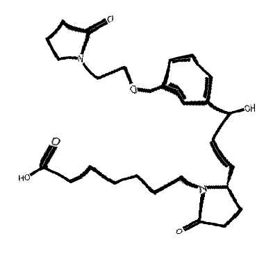 O=C(O)CCCCCCN1C(=O)CC[C@@H]1C=CC(O)c1cccc(OCCN2CCCC2=O)c1